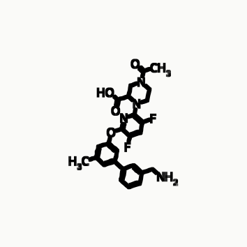 CC(=O)N1CCN(c2nc(Oc3cc(C)cc(-c4cccc(CN)c4)c3)c(F)cc2F)C(C(=O)O)C1